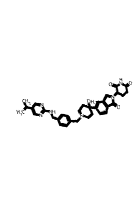 CC(C)c1cnc(NCc2ccc(CN3CCC(O)(c4ccc5c(c4)CN(C4CCC(=O)NC4=O)C5=O)CC3)cc2)nc1